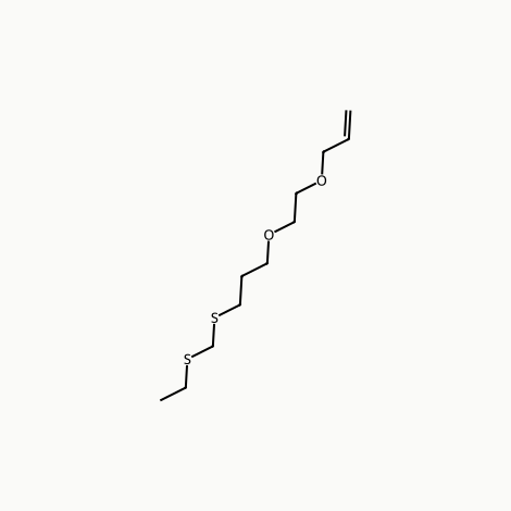 C=CCOCCOCCCSCSCC